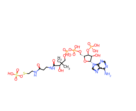 CC(C)(COP(=O)(O)OP(=O)(O)OC[C@H]1O[C@@H](n2cnc3c(N)ncnc32)[C@H](O)[C@@H]1OP(=O)(O)O)[C@@H](O)C(=O)NCCC(=O)NCCSOS(=O)(=O)O